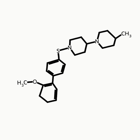 COC1=C(c2ccc(SN3CCC(N4CCC(C)CC4)CC3)cc2)C=CCC1